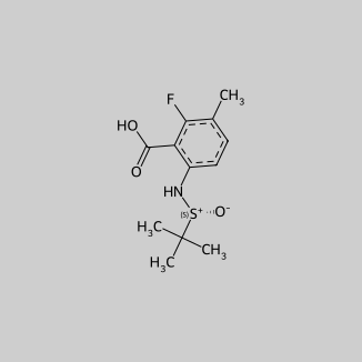 Cc1ccc(N[S@+]([O-])C(C)(C)C)c(C(=O)O)c1F